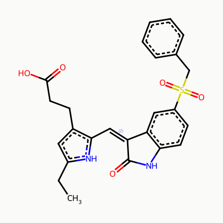 CCc1cc(CCC(=O)O)c(/C=C2\C(=O)Nc3ccc(S(=O)(=O)Cc4ccccc4)cc32)[nH]1